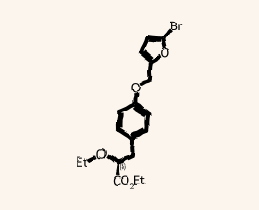 CCOC(=O)[C@H](Cc1ccc(OCc2ccc(Br)o2)cc1)OCC